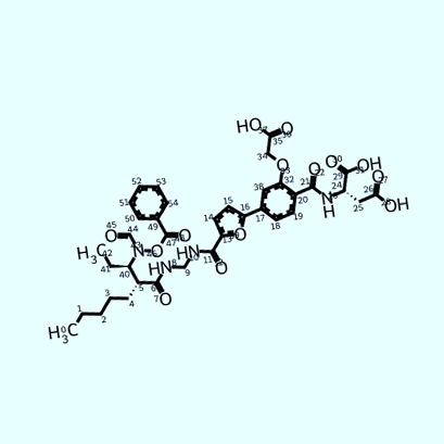 CCCCC[C@@H](C(=O)NCNC(=O)c1ccc(-c2ccc(C(=O)N[C@@H](CC(=O)O)C(=O)O)c(OCC(=O)O)c2)o1)[C@@H](CC)N(C=O)OC(=O)c1ccccc1